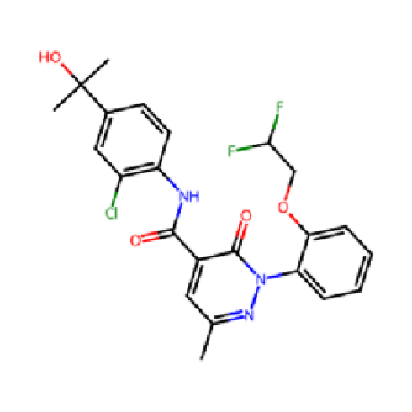 Cc1cc(C(=O)Nc2ccc(C(C)(C)O)cc2Cl)c(=O)n(-c2ccccc2OCC(F)F)n1